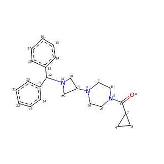 O=C(C1CC1)N1CCN(C2CN(C(c3ccccc3)c3ccccc3)C2)CC1